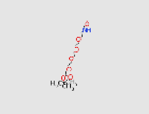 CC(C)(C)OC(=O)COCCOCCOCCOCCNC=O